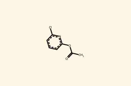 CC(=O)Oc1cccc(Cl)n1